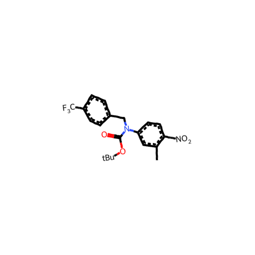 Cc1cc(N(Cc2ccc(C(F)(F)F)cc2)C(=O)OC(C)(C)C)ccc1[N+](=O)[O-]